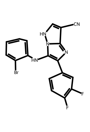 N#Cc1c[nH]n2c(Nc3ccccc3Br)c(-c3ccc(F)c(F)c3)nc12